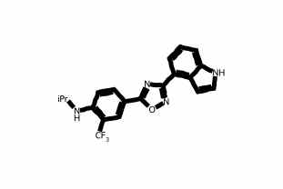 CC(C)Nc1ccc(-c2nc(-c3cccc4[nH]ccc34)no2)cc1C(F)(F)F